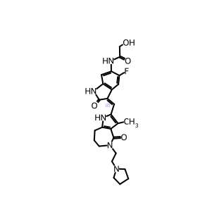 Cc1c(/C=C2\C(=O)Nc3cc(NC(=O)CO)c(F)cc32)[nH]c2c1C(=O)N(CCN1CCCC1)CCC2